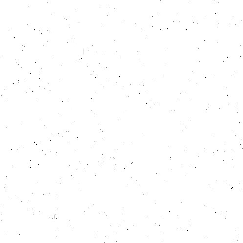 CN(Cc1ccc(C(F)(F)F)c(F)c1)C1CN(C(=O)OCCCC#N)CC1c1ccc(Cl)c(Cl)c1